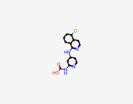 O=C(O)Nc1cc(Nc2nccc3c(Cl)cccc23)ccn1